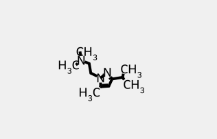 Cc1cc(C(C)C)nn1CCN(C)C